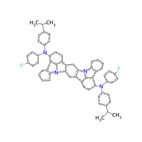 CC(C)c1ccc(N(c2ccc(F)cc2)c2ccc3c4cc5c(cc4n4c6ccccc6c2c34)c2ccc(N(c3ccc(F)cc3)c3ccc(C(C)C)cc3)c3c4ccccc4n5c23)cc1